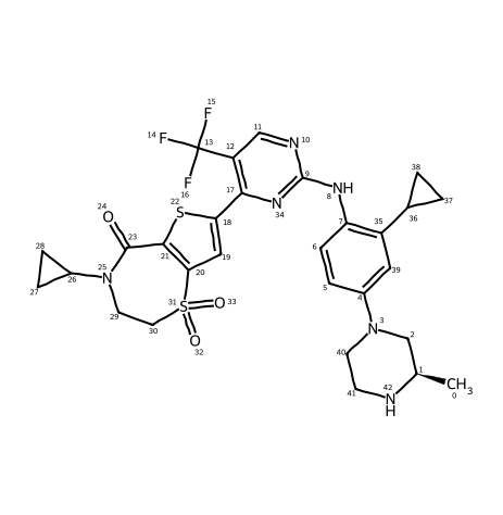 C[C@@H]1CN(c2ccc(Nc3ncc(C(F)(F)F)c(-c4cc5c(s4)C(=O)N(C4CC4)CCS5(=O)=O)n3)c(C3CC3)c2)CCN1